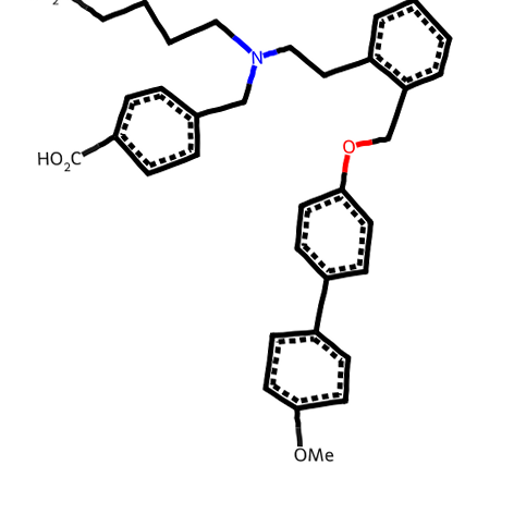 COc1ccc(-c2ccc(OCc3ccccc3CCN(CCCCC(=O)O)Cc3ccc(C(=O)O)cc3)cc2)cc1